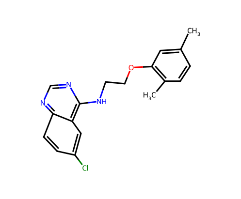 Cc1ccc(C)c(OCCNc2ncnc3ccc(Cl)cc23)c1